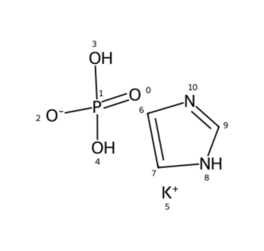 O=P([O-])(O)O.[K+].c1c[nH]cn1